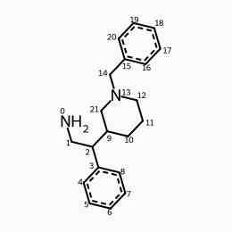 NCC(c1ccccc1)C1CCCN(Cc2ccccc2)C1